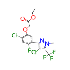 CCOC(=O)COc1cc(-c2nn(C)c(C(F)(F)F)c2Cl)c(F)cc1Cl